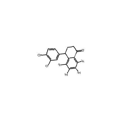 [2H]c1c([2H])c([2H])c2c(c1[2H])C(=O)CCC2c1ccc(Cl)c(Cl)c1